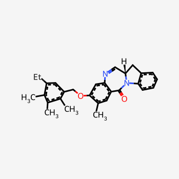 CCc1cc(COc2cc3c(cc2C)C(=O)N2c4ccccc4C[C@H]2C=N3)c(C)c(C)c1C